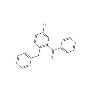 O=C(c1ccccc1)c1cc(Cl)ccc1Cc1ccccc1